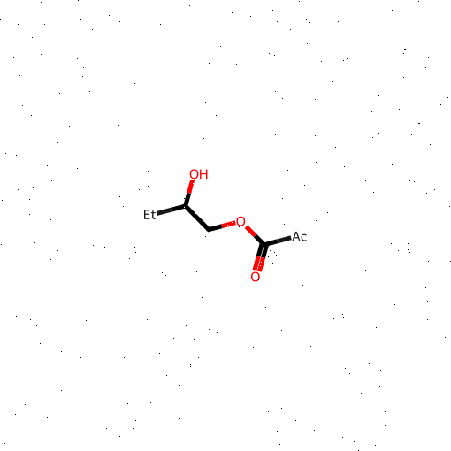 CCC(O)COC(=O)C(C)=O